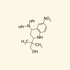 CCCN(CCC)C1CC(C(C)(C)CO)Nc2ccc([N+](=O)[O-])cc21